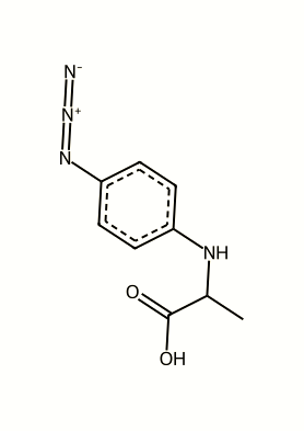 CC(Nc1ccc(N=[N+]=[N-])cc1)C(=O)O